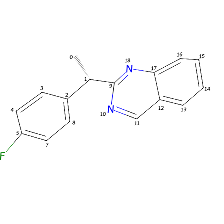 C[C@@H](c1ccc(F)cc1)c1ncc2ccccc2n1